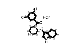 Cl.O=C(c1cc(Cl)cc(Cl)c1)N1CCNC[C@H]1Cc1c[nH]c2ccccc12